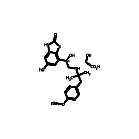 CCCCOc1ccc(CC(C)(C)NC[C@H](O)c2cc(O)cc3[nH]c(=O)sc23)cc1.O=C(O)CO